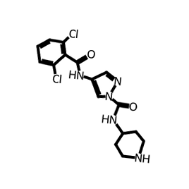 O=C(Nc1cnn(C(=O)NC2CCNCC2)c1)c1c(Cl)cccc1Cl